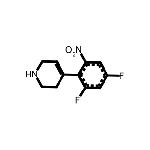 O=[N+]([O-])c1cc(F)cc(F)c1C1=CCNCC1